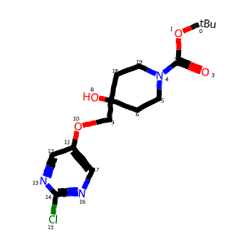 CC(C)(C)OC(=O)N1CCC(O)(COc2cnc(Cl)nc2)CC1